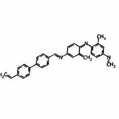 C=Cc1ccc(-c2ccc(C=NC3=CC(=C)/C(=N\c4ccc(N=C)cc4C)C=C3)cc2)cc1